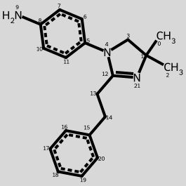 CC1(C)CN(c2ccc(N)cc2)C(CCc2ccccc2)=N1